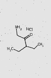 CCC(CC)C(=O)CN.Cl